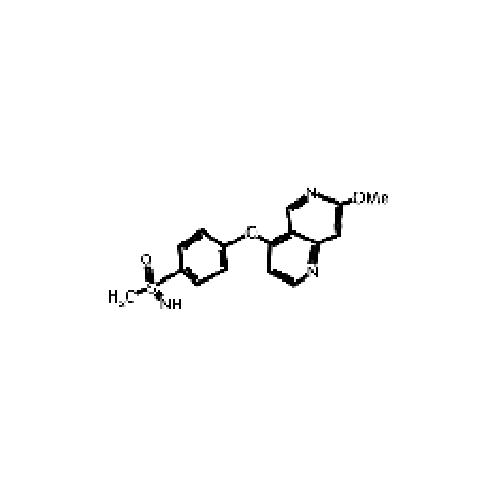 COc1cc2nccc(Oc3ccc(S(C)(=N)=O)cc3)c2cn1